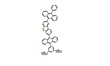 CC(C)(C)c1cc(-c2c3ccccc3c(-c3ccc4c(c3)sc3ccc(-c5c6ccccc6c(-c6ccccc6)c6ccccc56)cc34)c3ccccc23)cc(C(C)(C)C)c1